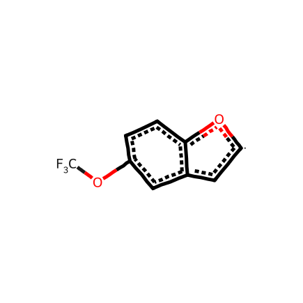 FC(F)(F)Oc1ccc2o[c]cc2c1